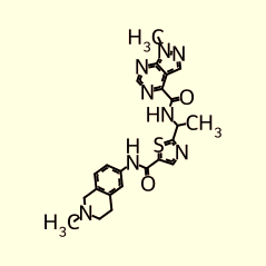 CC(NC(=O)c1ncnc2c1cnn2C)c1ncc(C(=O)Nc2ccc3c(c2)CCN(C)C3)s1